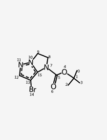 CC(C)(C)OC(=O)N1CCn2ncc(Br)c21